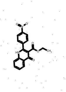 CCOC(=O)c1c(-c2ccc([N+](=O)[O-])cc2)[nH]c2ccccc2c1=O